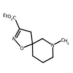 CCOC(=O)C1=NOC2(CCCN(C)C2)C1